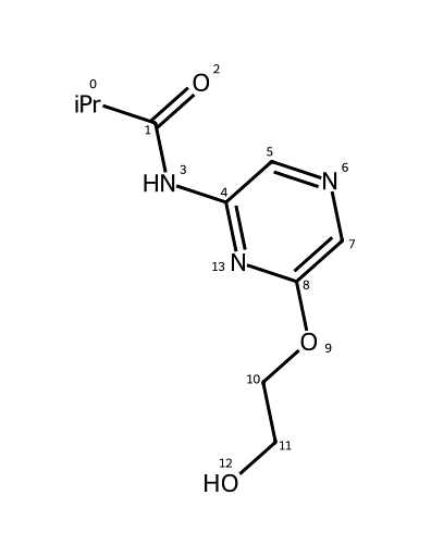 CC(C)C(=O)Nc1cncc(OCCO)n1